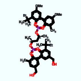 CCC(C)(C)c1cc(CO)cc2c1op(O[C@H](C)C[C@@H](C)Op1oc3c(C)cc(OC)cc3c3cc(OC)cc(C(C)(C)CC)c3o1)oc1c(C)cc(CO)cc12